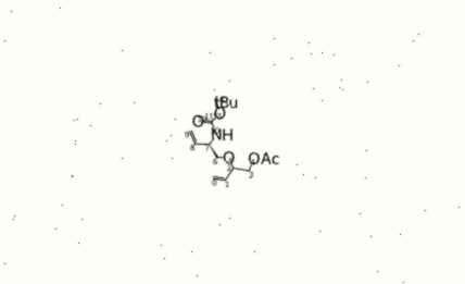 C=CC(COC(C)=O)OC[C@@H](C=C)NC(=O)OC(C)(C)C